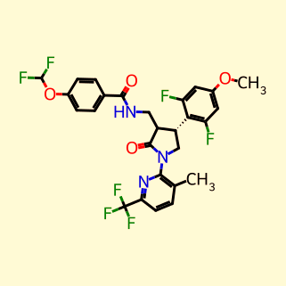 COc1cc(F)c([C@@H]2CN(c3nc(C(F)(F)F)ccc3C)C(=O)C2CNC(=O)c2ccc(OC(F)F)cc2)c(F)c1